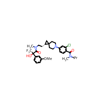 COc1cccc(C(O)(C(=O)N(C)CC[C@@H]2CC23CCN(c2ccc(C(=O)N(C)C(C)C)c(Cl)c2)CC3)C(F)(F)F)c1